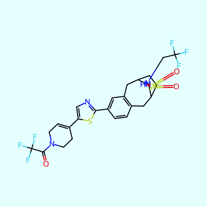 O=C(N1CC=C(c2cnc(-c3ccc4c(c3)CC3CCC(C4)C34CN(CC(F)(F)F)S(=O)(=O)N4)s2)CC1)C(F)(F)F